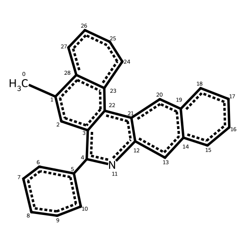 Cc1cc2c(-c3ccccc3)nc3cc4ccccc4cc3c2c2ccccc12